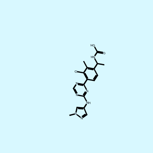 Cc1c(C(C)NC(=O)O)ccc(-c2ncnc(Nc3cnn(C)c3)n2)c1Cl